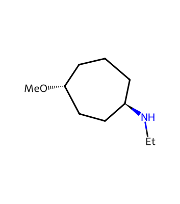 CCN[C@@H]1CCC[C@@H](OC)CC1